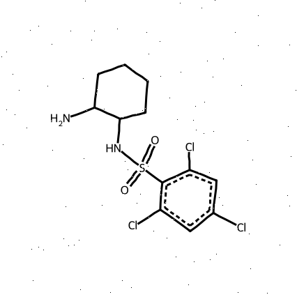 NC1CCCCC1NS(=O)(=O)c1c(Cl)cc(Cl)cc1Cl